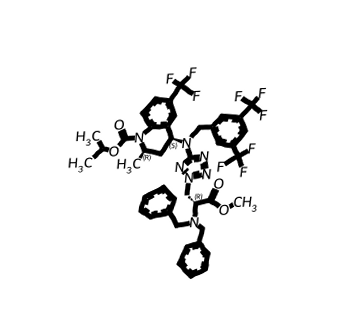 COC(=O)[C@@H](Cn1nnc(N(Cc2cc(C(F)(F)F)cc(C(F)(F)F)c2)[C@H]2C[C@@H](C)N(C(=O)OC(C)C)c3ccc(C(F)(F)F)cc32)n1)N(Cc1ccccc1)Cc1ccccc1